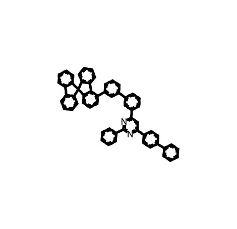 c1ccc(-c2ccc(-c3cc(-c4cccc(-c5cccc(-c6cccc7c6-c6ccccc6C76c7ccccc7-c7ccccc76)c5)c4)nc(-c4ccccc4)n3)cc2)cc1